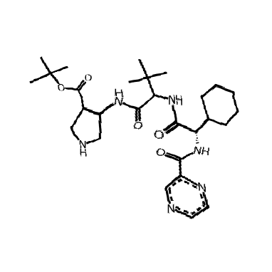 CC(C)(C)OC(=O)C1CNCC1NC(=O)C(NC(=O)[C@@H](NC(=O)c1cnccn1)C1CCCCC1)C(C)(C)C